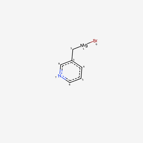 [Br][Mg][CH2]c1cccnc1